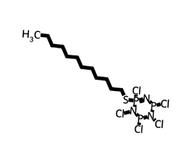 CCCCCCCCCCCCSP1(Cl)=NP(Cl)N(Cl)P(Cl)N1Cl